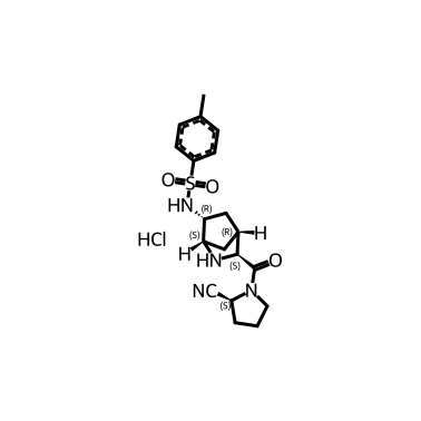 Cc1ccc(S(=O)(=O)N[C@@H]2C[C@H]3C[C@@H]2N[C@@H]3C(=O)N2CCC[C@H]2C#N)cc1.Cl